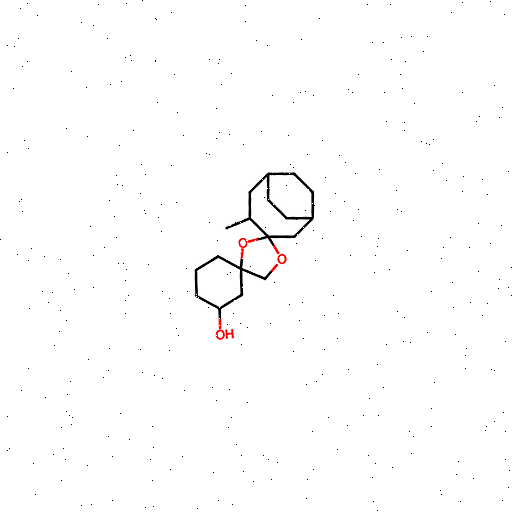 CC1CC2CCC(CC2)CC12OCC1(CCCC(O)C1)O2